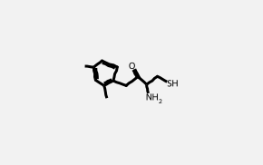 Cc1ccc(CC(=O)C(N)CS)c(C)c1